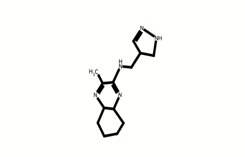 CC1=NC2CCCCC2N=C1NCC1C=NNC1